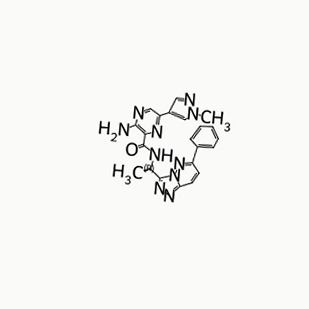 C[C@@H](NC(=O)c1nc(-c2cnn(C)c2)cnc1N)c1nnc2ccc(-c3ccccc3)nn12